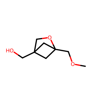 COCC12CC(CO)(CO1)C2